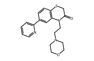 O=C1CSc2ccc(-c3ccccn3)cc2N1CCN1CCOCC1